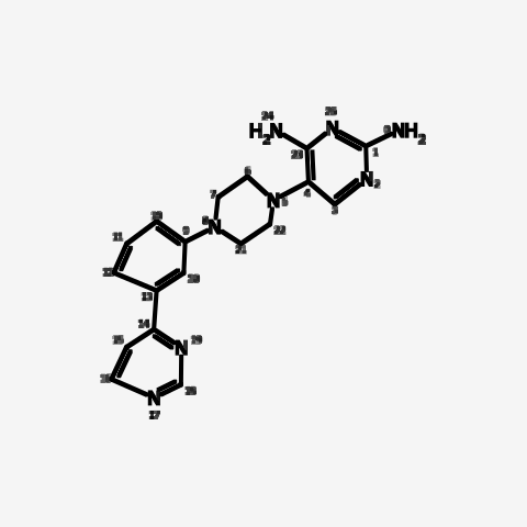 Nc1ncc(N2CCN(c3cccc(-c4ccncn4)c3)CC2)c(N)n1